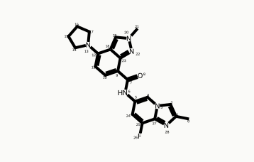 Cc1cn2cc(NC(=O)c3ccc(N4CCCC4)c4cn(C)nc34)cc(F)c2n1